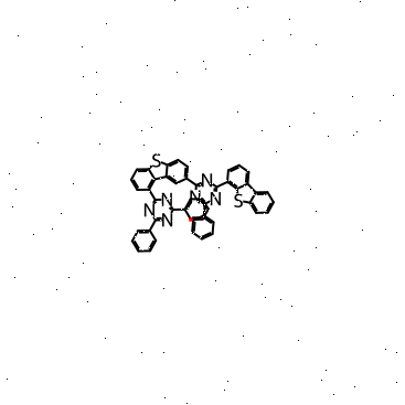 c1ccc(-c2nc(-c3ccc4sc5cccc(-c6nc(-c7ccccc7)nc(-c7ccccc7)n6)c5c4c3)nc(-c3cccc4c3sc3ccccc34)n2)cc1